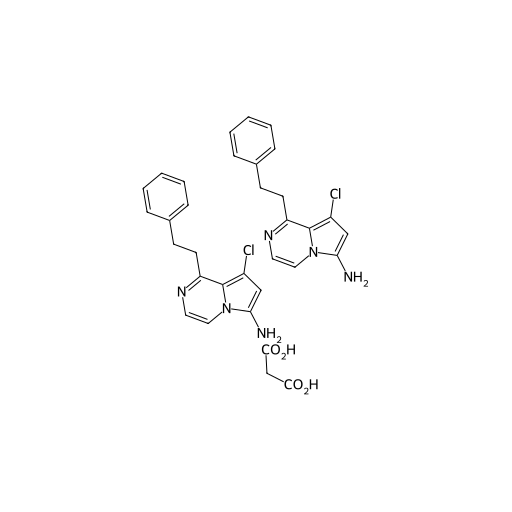 Nc1cc(Cl)c2c(CCc3ccccc3)nccn12.Nc1cc(Cl)c2c(CCc3ccccc3)nccn12.O=C(O)CC(=O)O